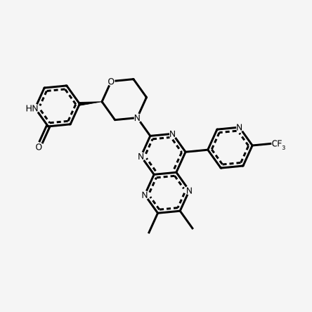 Cc1nc2nc(N3CCO[C@H](c4cc[nH]c(=O)c4)C3)nc(-c3ccc(C(F)(F)F)nc3)c2nc1C